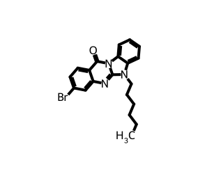 CCCCCCn1c2ccccc2n2c(=O)c3ccc(Br)cc3nc12